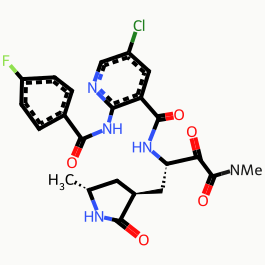 CNC(=O)C(=O)[C@H](C[C@@H]1C[C@@H](C)NC1=O)NC(=O)c1cc(Cl)cnc1NC(=O)c1ccc(F)cc1